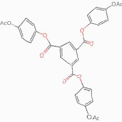 CC(=O)Oc1ccc(OC(=O)c2cc(C(=O)Oc3ccc(OC(C)=O)cc3)cc(C(=O)Oc3ccc(OC(C)=O)cc3)c2)cc1